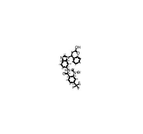 O=C(O)CC(c1ccccc1)n1cnc2ccc(NC(=O)c3ccc(C(F)(F)F)cc3[N+](=O)[O-])cc21